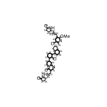 COc1nc(C[C@H]2CCc3c(-c4cccc(-c5ccn6c(=O)c(CNC[C@@H]7CCC(=O)N7)cnc6c5)c4Cl)cccc32)c(Cl)cc1CNC[C@@H]1CCC(=O)N1